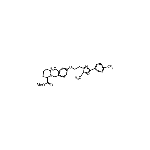 COC(=O)C1CCCCN1Cc1ccc(OCCc2nc(-c3ccc(C(F)(F)F)cc3)oc2C)cc1C